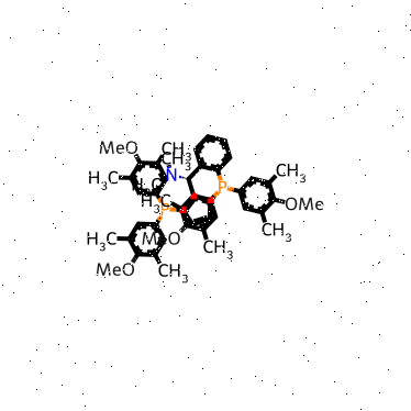 COc1c(C)cc(P(C2=C([C@@H](c3ccccc3P(c3cc(C)c(OC)c(C)c3)c3cc(C)c(OC)c(C)c3)N(C)C)CC=C2)c2cc(C)c(OC)c(C)c2)cc1C